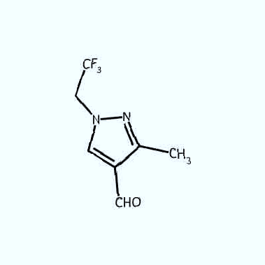 Cc1nn(CC(F)(F)F)cc1C=O